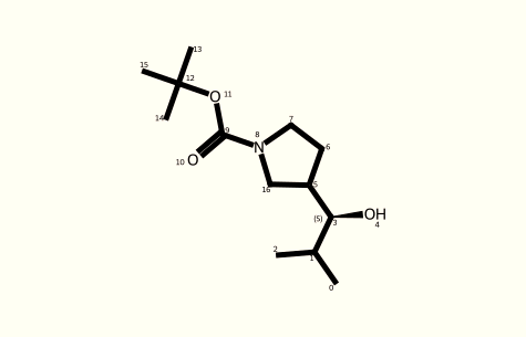 CC(C)[C@H](O)C1CCN(C(=O)OC(C)(C)C)C1